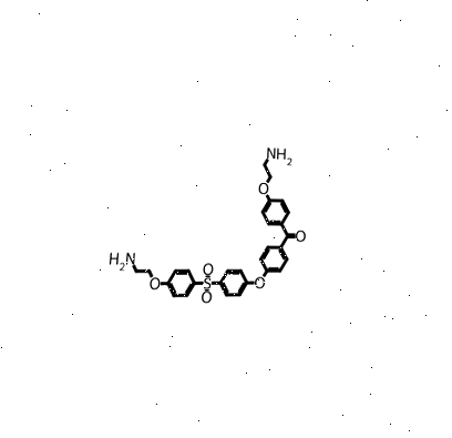 NCCOc1ccc(C(=O)c2ccc(Oc3ccc(S(=O)(=O)c4ccc(OCCN)cc4)cc3)cc2)cc1